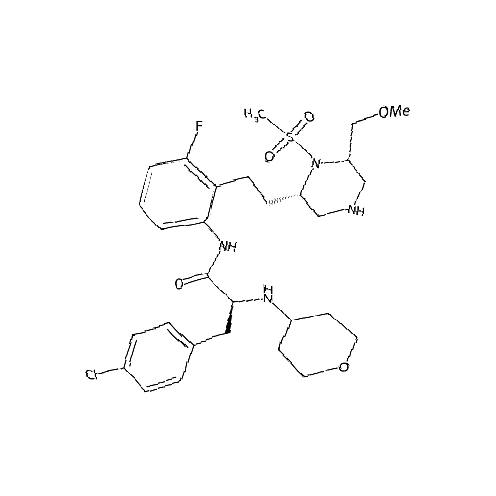 COCC1CNC[C@H](CCc2c(F)cccc2NC(=O)[C@H](Cc2ccc(Cl)cc2)NC2CCOCC2)N1S(C)(=O)=O